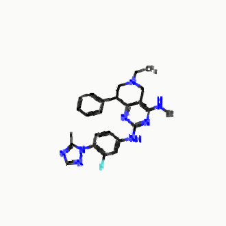 CCNc1nc(Nc2ccc(-n3ncnc3C)c(F)c2)nc2c1CN(CC(F)(F)F)CC2c1ccccc1